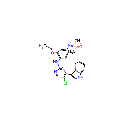 CCOc1cc(N=S(C)(C)=O)ccc1Nc1ncc(Cl)c(-c2c[nH]c3ccccc23)n1